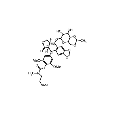 CNCCN(C)C(=O)Oc1c(OC)cc([C@H]2c3cc4c(cc3[C@H](OC3OC5COC(C)OC5C(O)C3O)[C@@H]3COC(=O)[C@@H]23)OCO4)cc1OC